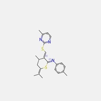 CC(C)=C1CC(C)C(=C\Sc2nccc(C)n2)/C(=N/c2ccc(C)cc2)S1